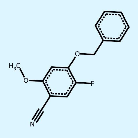 COc1cc(OCc2ccccc2)c(F)cc1C#N